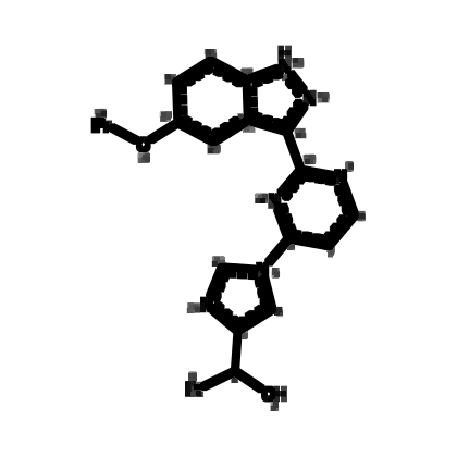 CCC(O)c1cn(-c2ccnc(-c3n[nH]c4ccc(OC(C)C)cc34)n2)cn1